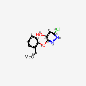 COCc1ccccc1Oc1nnc(Cl)cc1O